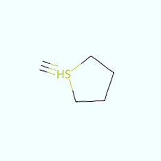 C#[SH]1CCCC1